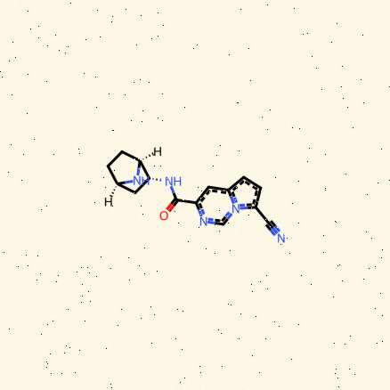 N#Cc1ccc2cc(C(=O)N[C@@H]3C[C@H]4CC[C@@H]3N4)ncn12